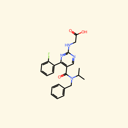 CC(C)N(Cc1ccccc1)C(=O)c1cnc(NCC(=O)O)nc1-c1ccccc1F